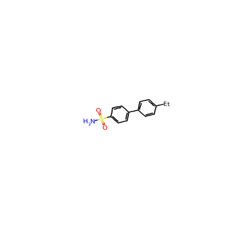 CCc1ccc(-c2ccc(S(N)(=O)=O)cc2)cc1